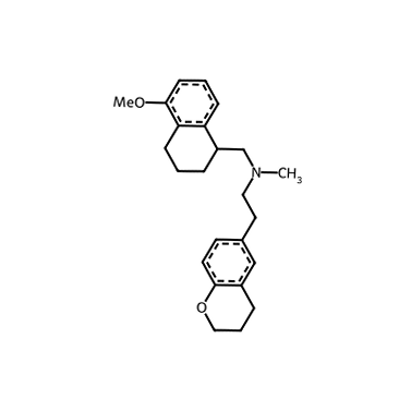 COc1cccc2c1CCCC2CN(C)CCc1ccc2c(c1)CCCO2